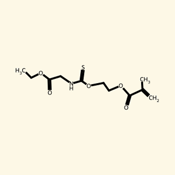 C=C(C)C(=O)OCCOC(=S)NCC(=O)OCC